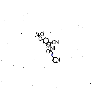 CN(C)C(=O)OC1CCc2c(sc(NC(=O)/C=C/c3cccnc3)c2C#N)C1